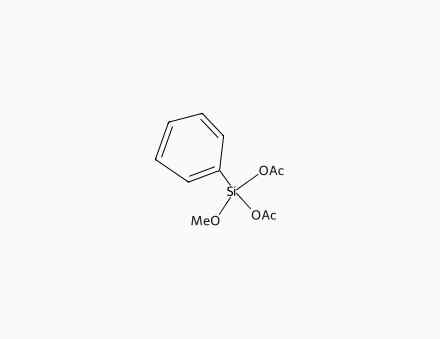 CO[Si](OC(C)=O)(OC(C)=O)c1ccccc1